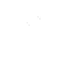 Cn1ccnc1CC1=CCc2ccccc21